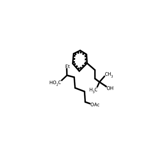 CC(C)(O)CCc1ccccc1.CCC(CCCCOC(C)=O)C(=O)O